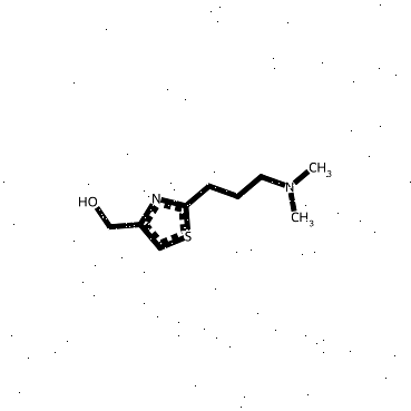 CN(C)CCCc1nc(CO)cs1